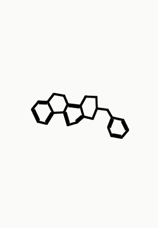 c1ccc(CC2CCc3c(ccc4c3CCc3ccccc3-4)C2)cc1